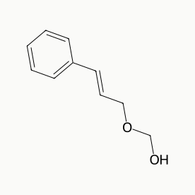 OCOCC=Cc1ccccc1